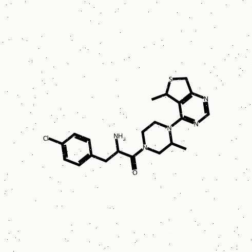 CC1SCc2ncnc(N3CCN(C(=O)C(N)Cc4ccc(Cl)cc4)CC3C)c21